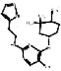 C[C@H]1CC[C@@H](Nc2nc(NCCc3ccn[nH]3)ncc2C#N)CC1(C)C